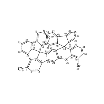 Clc1ccc2c(c1)C(c1ccccc1)(c1ccccc1)c1cc3c(cc1-2)Sc1c(Br)cccc1C31c2ccccc2-c2ccccc21